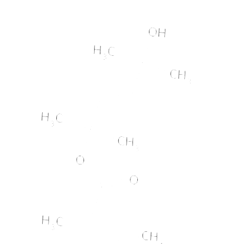 CC=C(C)C(=O)OC(C)(C)CCC(C)(C)O